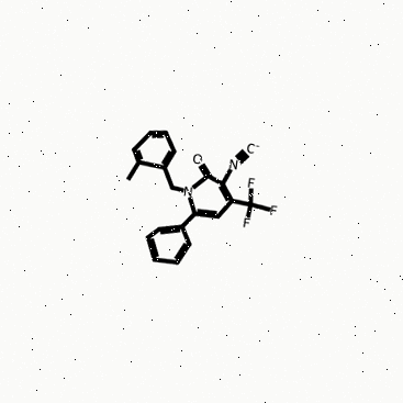 [C-]#[N+]c1c(C(F)(F)F)cc(-c2ccccc2)n(Cc2ccccc2C)c1=O